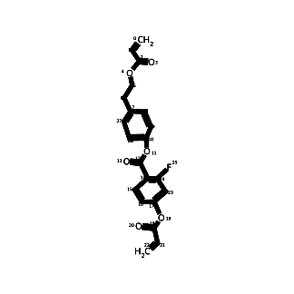 C=CC(=O)OCCc1ccc(OC(=O)c2ccc(OC(=O)C=C)cc2F)cc1